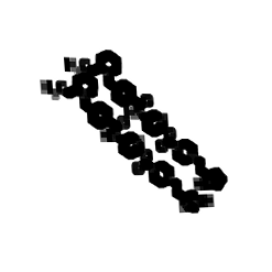 CCC1CCCCN1Cc1ccc(C(=O)Nc2ccc(OC(=O)N3CCN(CCc4c[nH]cn4)CC3)nc2)cc1.CCC1CCCCN1Cc1ccc(C(=O)Nc2ccc(OC(=O)N3CCN(CCc4ccc[nH]4)CC3)nc2)cc1